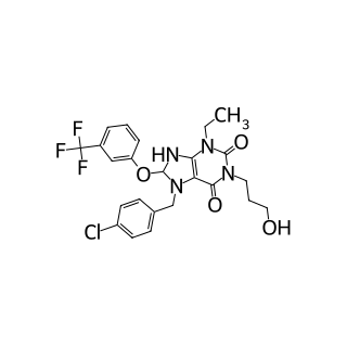 CCn1c2c(c(=O)n(CCCO)c1=O)N(Cc1ccc(Cl)cc1)C(Oc1cccc(C(F)(F)F)c1)N2